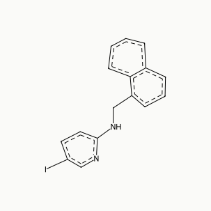 Ic1ccc(NCc2cccc3ccccc23)nc1